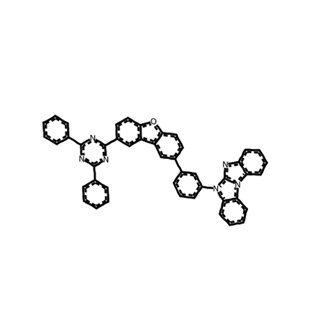 c1ccc(-c2nc(-c3ccccc3)nc(-c3ccc4oc5ccc(-c6cccc(-n7c8ccccc8n8c9ccccc9nc78)c6)cc5c4c3)n2)cc1